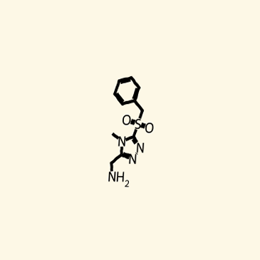 Cn1c(CN)nnc1S(=O)(=O)Cc1ccccc1